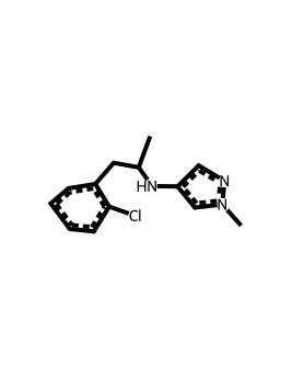 CC(Cc1ccccc1Cl)Nc1cnn(C)c1